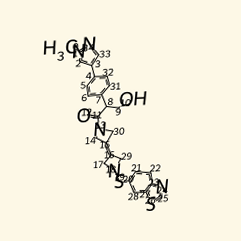 Cn1cc(-c2ccc(C(CO)C(=O)N3CC(=C4CN(Sc5ccc6ncsc6c5)C4)C3)cc2)cn1